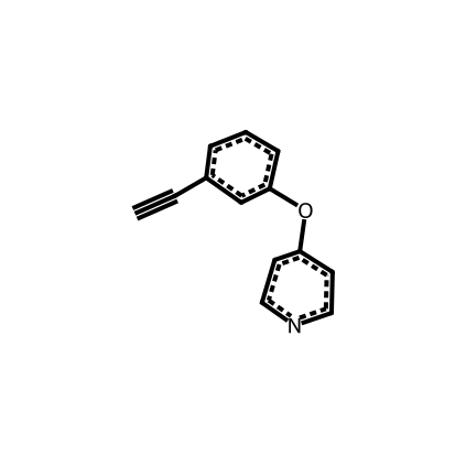 C#Cc1cccc(Oc2ccncc2)c1